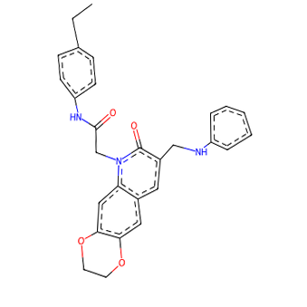 CCc1ccc(NC(=O)Cn2c(=O)c(CNc3ccccc3)cc3cc4c(cc32)OCCO4)cc1